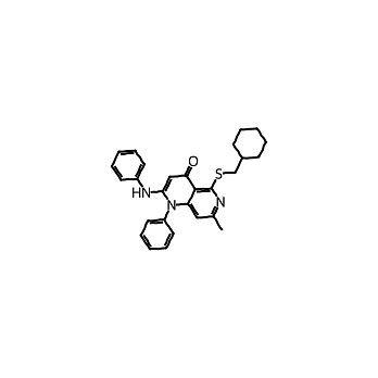 Cc1cc2c(c(SCC3CCCCC3)n1)c(=O)cc(Nc1ccccc1)n2-c1ccccc1